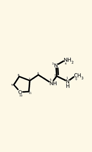 CNC(=NN)NCC1CCOC1